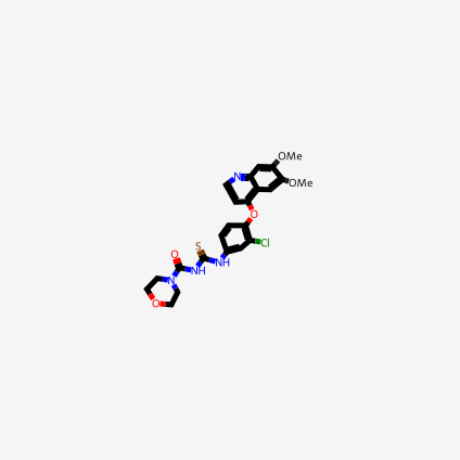 COc1cc2nccc(Oc3ccc(NC(=S)NC(=O)N4CCOCC4)cc3Cl)c2cc1OC